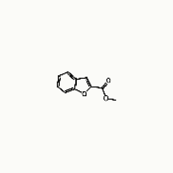 COC(=O)c1cc2ccccc2o1